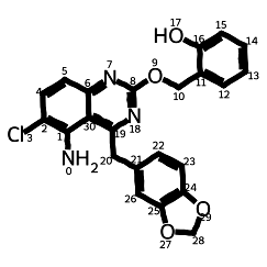 Nc1c(Cl)ccc2nc(OCc3ccccc3O)nc(Cc3ccc4c(c3)OCO4)c12